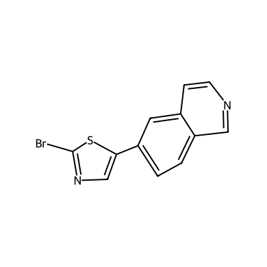 Brc1ncc(-c2ccc3cnccc3c2)s1